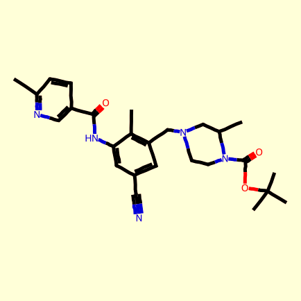 Cc1ccc(C(=O)Nc2cc(C#N)cc(CN3CCN(C(=O)OC(C)(C)C)C(C)C3)c2C)cn1